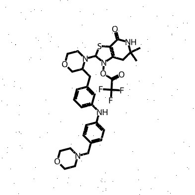 CC1(C)CC2=C(SC(N3CCOCC3Cc3cccc(Nc4ccc(CN5CCOCC5)cc4)c3)N2OC(=O)C(F)(F)F)C(=O)N1